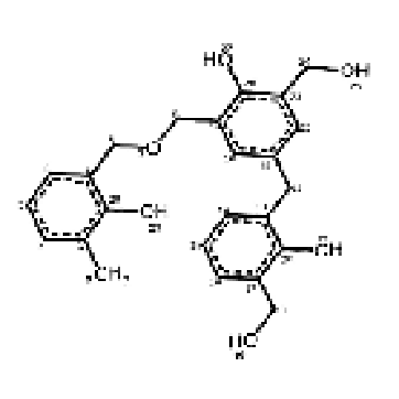 Cc1cccc(COCc2cc(Cc3cccc(CO)c3O)cc(CO)c2O)c1O